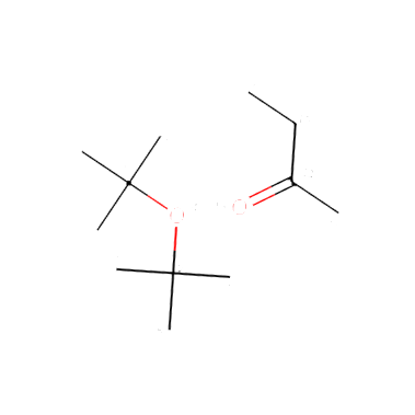 CC(C)(C)OC(C)(C)C.CCC(C)=O